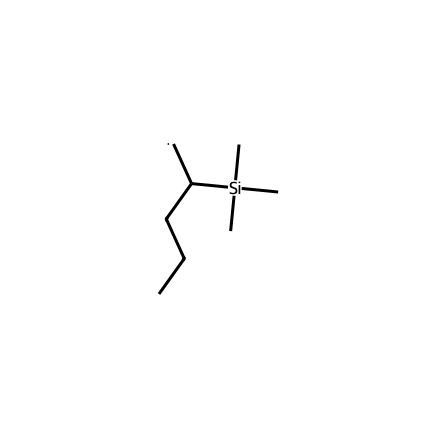 [CH2]C(CCC)[Si](C)(C)C